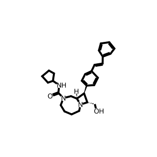 O=C(NC1CCCC1)N1CCCCN2[C@@H](CO)[C@H](c3ccc(/C=C/c4ccccc4)cc3)[C@@H]2C1